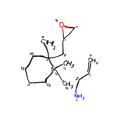 C=CCN.CC1(CC2CO2)CCCC[Si]1(C)C